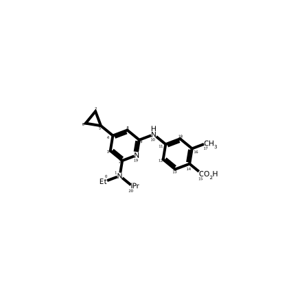 CCN(c1cc(C2CC2)cc(Nc2ccc(C(=O)O)c(C)c2)n1)C(C)C